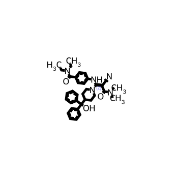 CCN(CC)C(=O)c1ccc(N/C(=C(\C#N)C(=O)N(C)C)N2CCC(C(O)(c3ccccc3)c3ccccc3)CC2)cc1